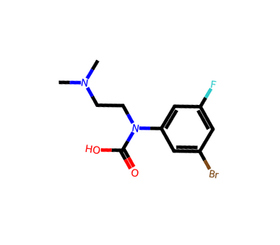 CN(C)CCN(C(=O)O)c1cc(F)cc(Br)c1